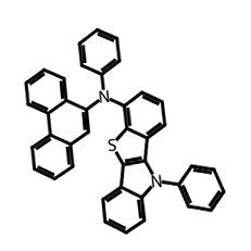 c1ccc(N(c2cc3ccccc3c3ccccc23)c2cccc3c2sc2c4ccccc4n(-c4ccccc4)c32)cc1